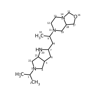 CC(C)N1CC2CC(CC(C)N3CCN4COCC4C3)NC2C1